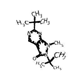 Cn1c2nc(C(C)(C)C)ncc2c(=O)n1C(C)(C)C